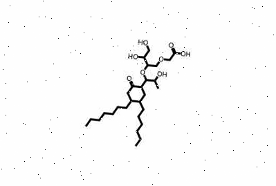 CCCCCCCC1CC(=O)C(C(OC(COCC(=O)O)C(O)CO)C(C)O)CC1CCCCCC